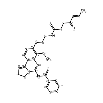 C/C=C/C(=O)CCC(=O)NCCOc1ccc2c(c1OC)N=C(NC(=O)c1cccnc1)N1CCN=C21